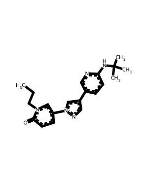 CCCn1cc(-n2cc(-c3ccc(NC(C)(C)C)nc3)cn2)ccc1=O